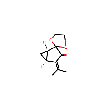 CC(C)=C1C(=O)C2(OCCO2)[C@@H]2C[C@H]12